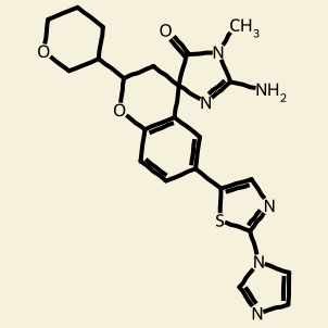 CN1C(=O)C2(CC(C3CCCOC3)Oc3ccc(-c4cnc(-n5ccnc5)s4)cc32)N=C1N